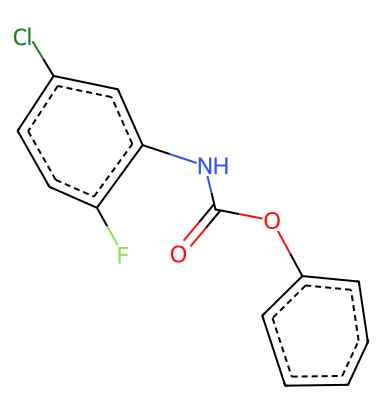 O=C(Nc1cc(Cl)ccc1F)Oc1ccccc1